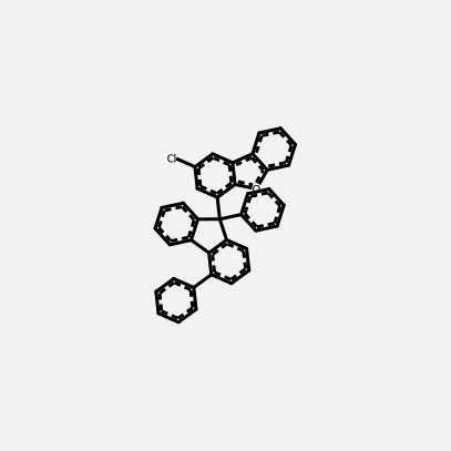 Clc1cc(C2(c3ccccc3)c3ccccc3-c3c(-c4ccccc4)cccc32)c2oc3ccccc3c2c1